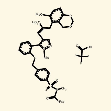 CCCCn1ncc(/C=C(\Cc2c(OC)ccc3c2COCO3)C(=O)O)c1-c1ccccc1OCc1ccc(S(=O)(=O)N(C)C(=O)NC)cc1.O=C(O)C(F)(F)F